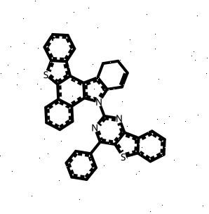 C1=Cc2c(c3c4c5ccccc5sc4c4ccccc4c3n2-c2nc(-c3ccccc3)c3sc4ccccc4c3n2)CC1